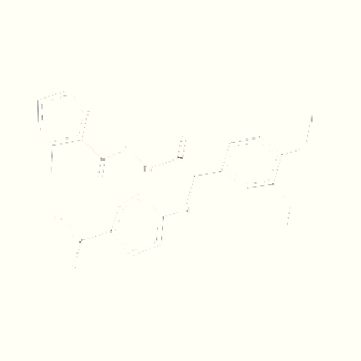 CCOc1cc(C(Nc2ccc(C(=N)N)cc2)C(=O)NNC(=O)c2cccnc2F)ccc1OC(C)C